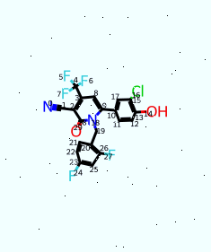 N#Cc1c(C(F)(F)F)cc(-c2ccc(O)c(Cl)c2)n(Cc2ccc(F)cc2F)c1=O